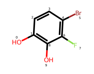 Oc1ccc(Br)c(F)c1O